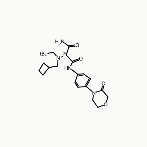 CC(C)(C)CN(CC1CCC1)[C@H](C(N)=O)C(=O)Nc1ccc(N2CCOCC2=O)cc1